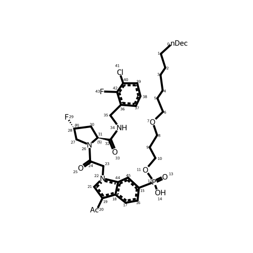 CCCCCCCCCCCCCCCCOCCCOP(=O)(O)c1ccc2c(C(C)=O)cn(CC(=O)N3C[C@H](F)C[C@H]3C(=O)NCc3cccc(Cl)c3F)c2c1